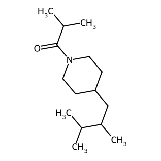 CC(C)C(=O)N1CCC(CC(C)C(C)C)CC1